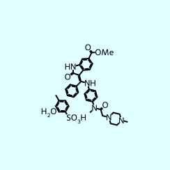 COC(=O)c1ccc2c(c1)NC(=O)C2=C(Nc1ccc(N(C)C(=O)CN2CCN(C)CC2)cc1)c1ccccc1.Cc1ccc(S(=O)(=O)O)cc1.O